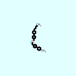 CC=CCCC1CCC(c2ccc(COC(F)(F)Cc3ccc(C4CCC(C)CC4)cc3)cc2)CC1